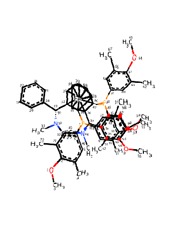 COc1c(C)cc(P(c2cc(C)c(OC)c(C)c2)[C]23[CH]4[CH]5[CH]6[C]2([C@@H](c2ccccc2)N(C)C)[Fe]56432789[CH]3[CH]2[C]7([C@@H](c2ccccc2)N(C)C)[C@@]8(P(c2cc(C)c(OC)c(C)c2)c2cc(C)c(OC)c(C)c2)[CH]39)cc1C